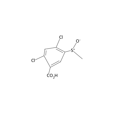 C[S+]([O-])c1cc(C(=O)O)c(Cl)cc1Cl